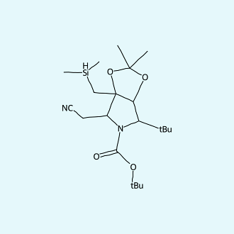 C[SiH](C)CC12OC(C)(C)OC1C(C(C)(C)C)N(C(=O)OC(C)(C)C)C2CC#N